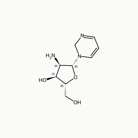 N[C@@H]1[C@H](O)[C@@H](CO)O[C@H]1N1C=CC=NC1